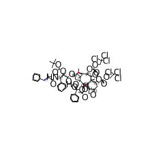 CC(=O)O[C@@]12CO[C@]1(C)C[C@H](OC(=O)OCC(Cl)(Cl)Cl)[C@@]1(C)C(=O)[C@H](OC(=O)OCC(Cl)(Cl)Cl)C3=C(C)[C@@H](OC(=O)[C@H](OC(=O)OC(C)(C)C)[C@@H](NC(=O)/C(C)=C/c4ccccc4)c4ccccc4)CC(O)([C@@H](OC(=O)c4ccccc4)[C@@H]12)C3(C)C